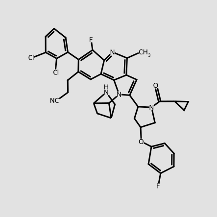 Cc1nc2c(F)c(-c3cccc(Cl)c3Cl)c(CCC#N)cc2c2c1cc(C1CC(Oc3cccc(F)c3)CN1C(=O)C1CC1)n2C1C2CNC1C2